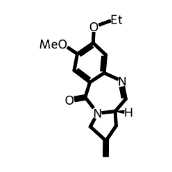 C=C1C[C@H]2C=Nc3cc(OCC)c(OC)cc3C(=O)N2C1